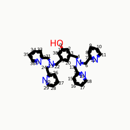 Oc1cc(CN(Cc2ccccn2)Cc2ccccn2)cc(CN(Cc2ccccn2)Cc2ccccn2)c1